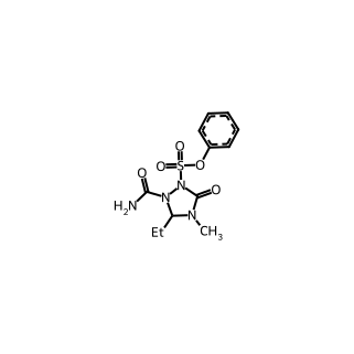 CCC1N(C)C(=O)N(S(=O)(=O)Oc2ccccc2)N1C(N)=O